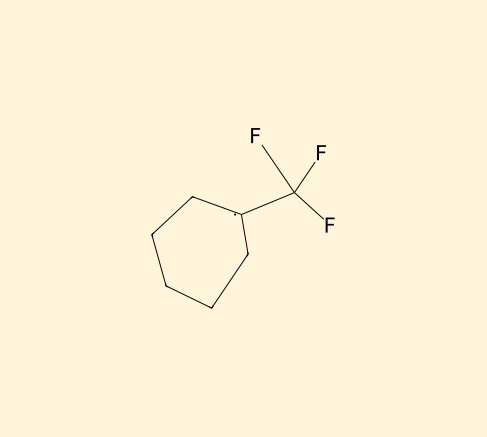 FC(F)(F)[C]1CCCCC1